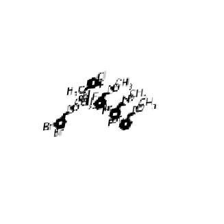 CON=C(C)c1ccc(Cl)c(F)c1.CON=CCc1cc(F)ccc1F.CON=CCc1ccc(Br)c(Br)c1.CON=CCc1ccc(F)cc1Br.CON=CCc1ccccc1Br